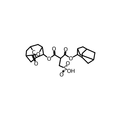 O=C1OC2CC3CC1CC(C3)C2OC(=O)C(CS(=O)(=O)O)C(=O)OC1C2CC3CC(C2)CC1C3